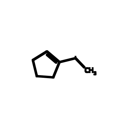 C[CH]C1=CCCC1